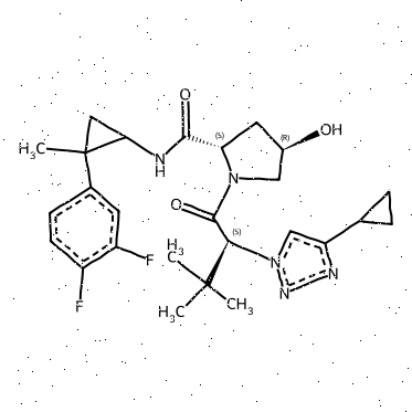 CC1(c2ccc(F)c(F)c2)CC1NC(=O)[C@@H]1C[C@@H](O)CN1C(=O)[C@@H](n1cc(C2CC2)nn1)C(C)(C)C